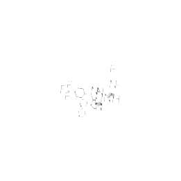 COCOc1cc(C(F)(F)F)ccc1-c1nnc(N[C@@H]2CCCN(CCF)C2)n2nccc12